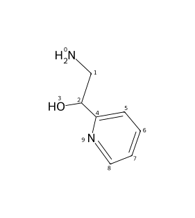 NCC(O)c1ccccn1